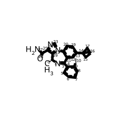 C[C@H]1N=C(c2ccccc2I)c2cc(C34CC(C3)C4)ccc2-n2cnc(C(N)=O)c21